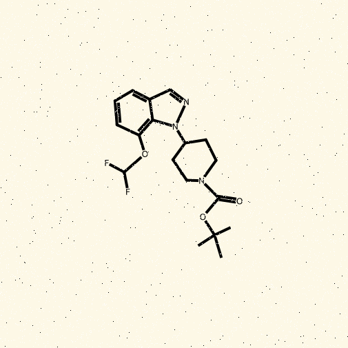 CC(C)(C)OC(=O)N1CCC(n2ncc3cccc(OC(F)F)c32)CC1